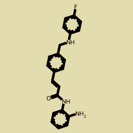 Nc1ccccc1NC(=O)C=Cc1ccc(CNc2ccc(F)cc2)cc1